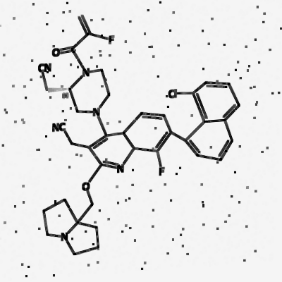 C=C(F)C(=O)N1CCN(C2=C(CC#N)C(OCC34CCCN3CCC4)=NC3C(F)=C(c4cccc5cccc(Cl)c45)C=CC23)C[C@@H]1CC#N